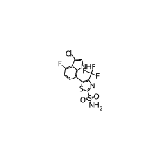 NS(=O)(=O)c1nc(C(F)(F)F)c(-c2ccc(F)c3c(Cl)c[nH]c23)s1